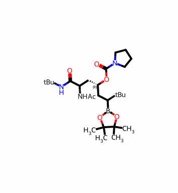 CC(=O)NC(C[C@@H](CC(B1OC(C)(C)C(C)(C)O1)C(C)(C)C)OC(=O)N1CCCC1)C(=O)NC(C)(C)C